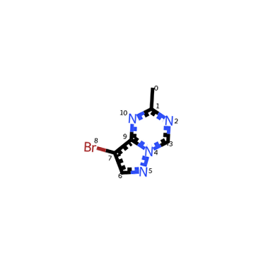 Cc1n[c]n2ncc(Br)c2n1